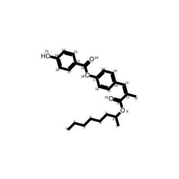 CCCCCCC(C)OC(=O)C(C)=Cc1ccc(OC(=O)c2ccc(O)cc2)cc1